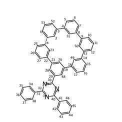 c1ccc(-c2cccc(-c3cccc(-c4cccc(-c5cc(-c6ccccc6)cc(-c6nc(-c7ccccc7)nc(-c7ccccc7)n6)c5)c4)c3)c2)cc1